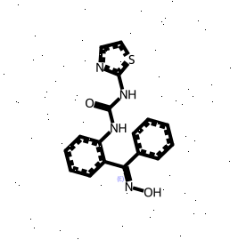 O=C(Nc1nccs1)Nc1ccccc1/C(=N/O)c1ccccc1